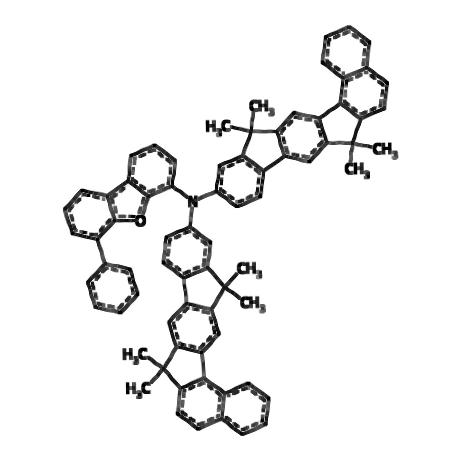 CC1(C)c2cc(N(c3ccc4c(c3)C(C)(C)c3cc5c(cc3-4)C(C)(C)c3ccc4ccccc4c3-5)c3cccc4c3oc3c(-c5ccccc5)cccc34)ccc2-c2cc3c(cc21)-c1c(ccc2ccccc12)C3(C)C